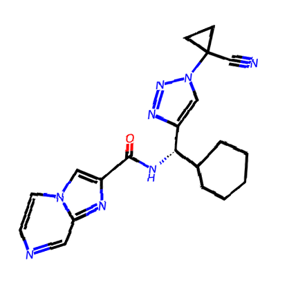 N#CC1(n2cc([C@@H](NC(=O)c3cn4ccncc4n3)C3CCCCC3)nn2)CC1